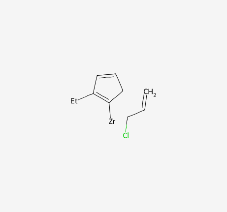 C=CCCl.CCC1=[C]([Zr])CC=C1